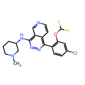 CN1CCC[C@@H](Nc2nnc(-c3ccc(Cl)cc3OC(F)F)c3ccncc23)C1